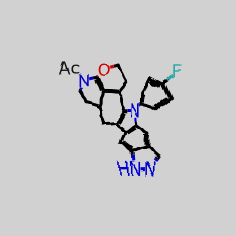 CC(=O)N1CCC2Cc3c(n(-c4ccc(F)cc4)c4cc5cn[nH]c5cc34)C3CCOC1=C23